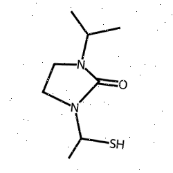 CC(C)N1CCN(C(C)S)C1=O